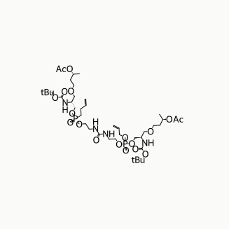 C=CCCP(=O)(OCCNC(=O)NCCOP(=O)(OCC=C)OC[C@@H](COCC[C@@H](C)OC(C)=O)NC(=O)OC(C)(C)C)OC[C@@H](COCC[C@@H](C)OC(C)=O)NC(=O)OC(C)(C)C